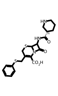 O=C(O)C1=C(CSc2ccccc2)CSC2C(NC(=O)[C@H]3CCCNC3)C(=O)N12